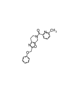 Cc1cccc(C(=O)N2CCc3nc(COc4ccccc4)oc3C2)n1